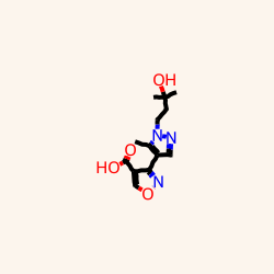 Cc1c(-c2nocc2C(=O)O)cnn1CCC(C)(C)O